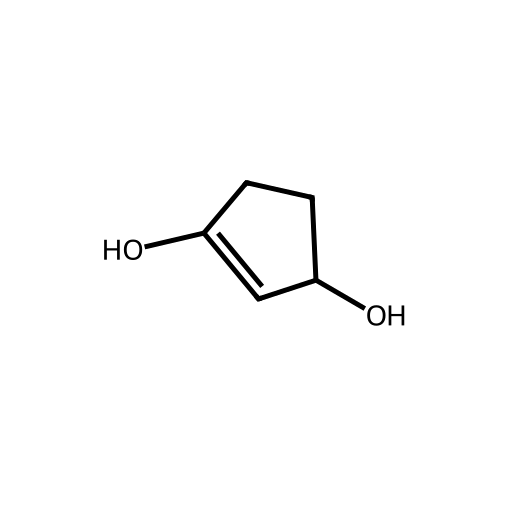 OC1=CC(O)CC1